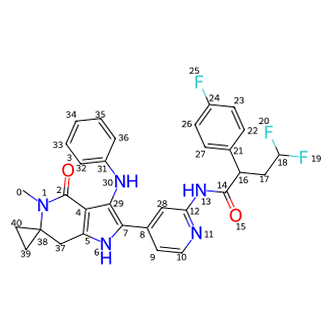 CN1C(=O)c2c([nH]c(-c3ccnc(NC(=O)C(CC(F)F)c4ccc(F)cc4)c3)c2Nc2ccccc2)CC12CC2